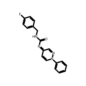 O=C(/N=c1/ccn(-c2ccccc2)nc1)NCc1ccc(F)cc1